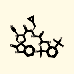 N#C[C@@H]1C[C@@]2(CN1C(=O)[C@H](CC1CC1)NC(=O)C(=O)Nc1c(C(F)(F)F)cccc1C(F)(F)F)C(=O)Nc1ccccc12